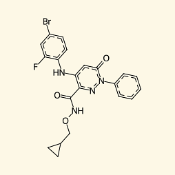 O=C(NOCC1CC1)c1nn(-c2ccccc2)c(=O)cc1Nc1ccc(Br)cc1F